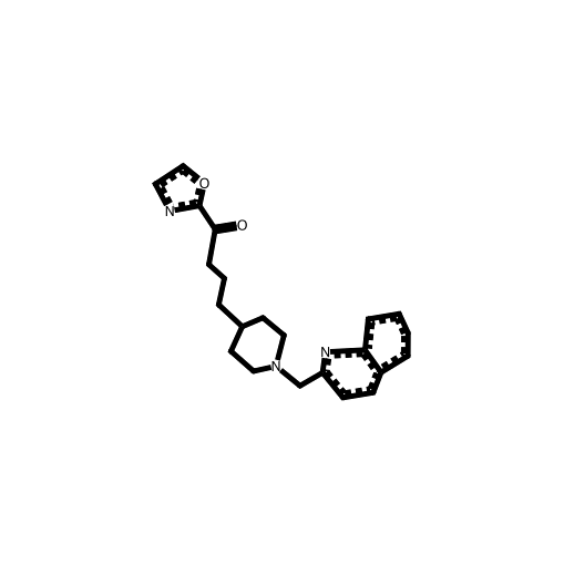 O=C(CCCC1CCN(Cc2ccc3ccccc3n2)CC1)c1ncco1